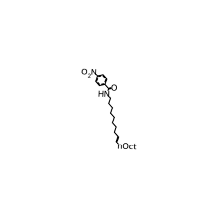 CCCCCCCCC=CCCCCCCCCNC(=O)c1ccc([N+](=O)[O-])cc1